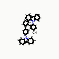 N#Cc1ccc(-n2c3ccccc3c3ccccc32)c(-c2ccccc2-c2ccc(-n3c4ccccc4c4ccccc43)cc2)c1